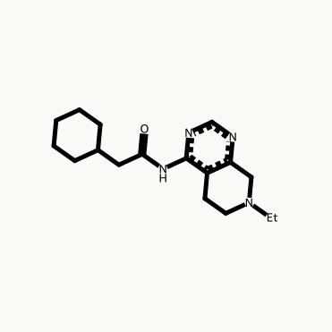 CCN1CCc2c(ncnc2NC(=O)CC2CCCCC2)C1